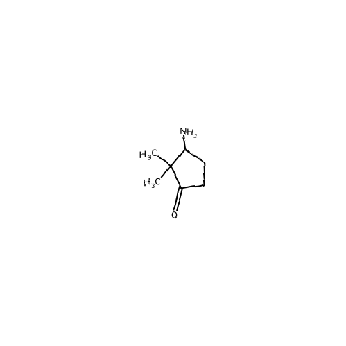 CC1(C)C(=O)CCC1N